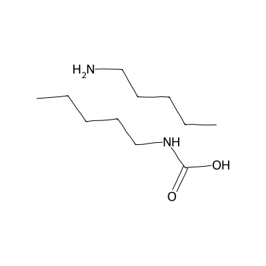 CCCCCN.CCCCCNC(=O)O